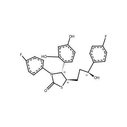 O=C1S[C@H](CC[C@H](O)c2ccc(F)cc2)[C@@H](c2ccc(O)cc2O)N1c1ccc(F)cc1